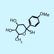 COc1ccc(C2(S)C[C@H](O)[C@H](O)[C@H](C)O2)cc1